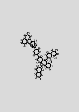 c1ccc2cc(-c3c4ccccc4c(-c4ccc5ccccc5c4)c4cc(-c5ccc(-c6ncc7c(n6)-c6cccc8cccc-7c68)cc5)ccc34)ccc2c1